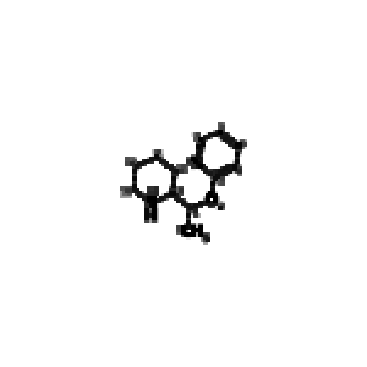 CC(Oc1ccccn1)C1CCCCN1